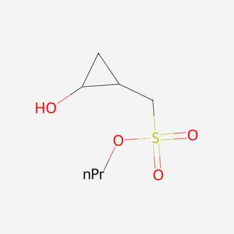 CCCOS(=O)(=O)CC1CC1O